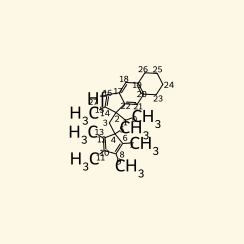 CCC1(CC2(C)C(C)=C(C)C(C)=C2C)C(C)=Cc2cc3c(cc21)CCCC3.[Hf]